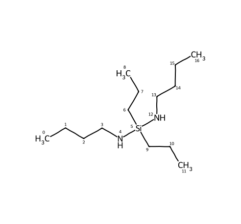 CCCCN[Si](CCC)(CCC)NCCCC